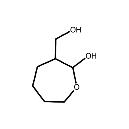 OCC1CCCCOC1O